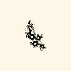 CCN(C)S(=O)(=O)NC(=O)c1cnn2ccc(N3C[C@@H](F)C[C@@H]3c3cc(F)ccc3OC3CCOC3)c(F)c12